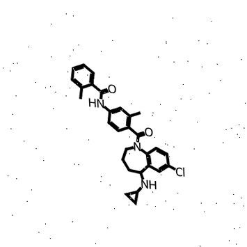 Cc1ccccc1C(=O)Nc1ccc(C(=O)N2CCCC(NC3CC3)c3cc(Cl)ccc32)c(C)c1